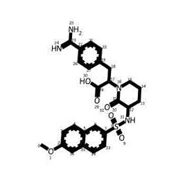 COc1ccc2cc(S(=O)(=O)NC3CCCN(C(Cc4ccc(C(=N)N)cc4)C(=O)O)C3=O)ccc2c1